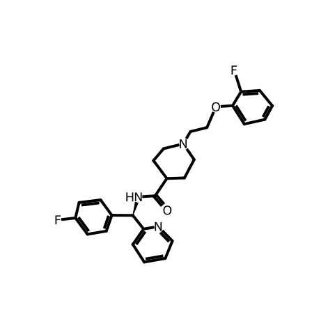 O=C(N[C@H](c1ccc(F)cc1)c1ccccn1)C1CCN(CCOc2ccccc2F)CC1